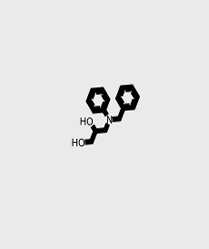 OCC(O)CN(Cc1ccccc1)c1ccccc1